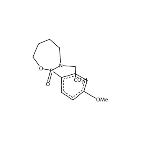 COc1ccc(P2(=O)OCCCCN2CC(=O)O)cc1